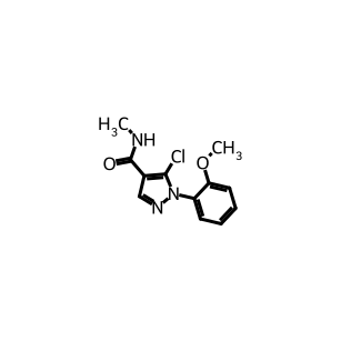 CNC(=O)c1cnn(-c2ccccc2OC)c1Cl